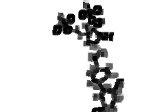 CS(=O)(=O)OCCC1(COS(C)(=O)=O)C[C@@H](CCc2ccc(-c3cc(Cl)ccc3F)cc2)NC1=O